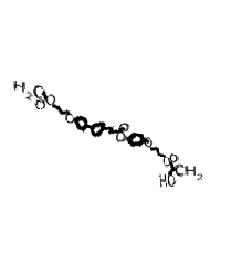 C=CC(=O)OCCCCOc1ccc(-c2ccc(/C=C/C(=O)Oc3ccc(OCCCCOC(=O)C(=C)CO)cc3)cc2)cc1